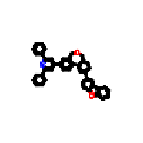 c1ccc(-c2cc(-c3ccc4c(c3)COCc3ccc(-c5ccc6oc7ccccc7c6c5)cc3-4)cc(-c3ccccc3)n2)cc1